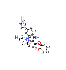 CC(C)Nc1cc(-c2cn[nH]c2)ccc1NC(=O)C1COc2ccccc2O1